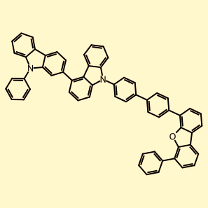 c1ccc(-c2cccc3c2oc2c(-c4ccc(-c5ccc(-n6c7ccccc7c7c(-c8ccc9c%10ccccc%10n(-c%10ccccc%10)c9c8)cccc76)cc5)cc4)cccc23)cc1